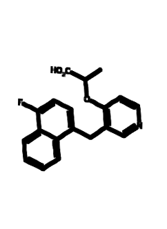 CC(Oc1ccncc1Cc1ccc(F)c2ccccc12)C(=O)O